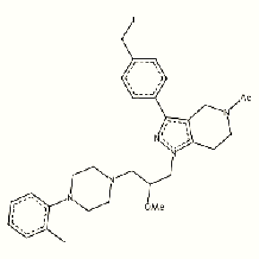 COC(CN1CCN(c2ccccc2C)CC1)Cn1nc(-c2ccc(CI)cc2)c2c1CCN(C(C)=O)C2